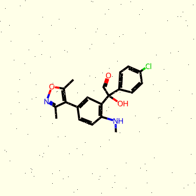 CNc1ccc(-c2c(C)noc2C)cc1C(O)(C=O)c1ccc(Cl)cc1